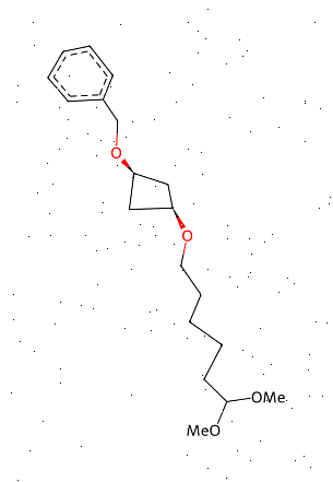 COC(CCCCCO[C@H]1C[C@@H](OCc2ccccc2)C1)OC